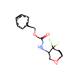 O=C(NC1COCCC1(F)F)OCc1ccccc1